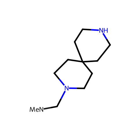 CNCN1CCC2(CCNCC2)CC1